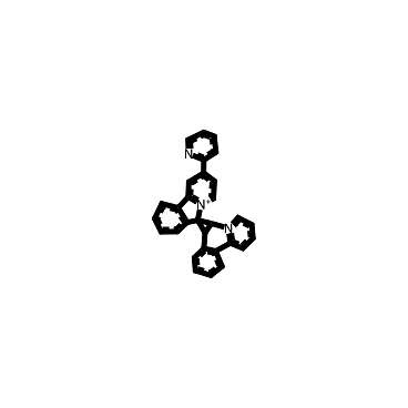 c1ccc(-c2cc[n+]3c(c2)-c2ccccc2C32C3c4ccccc4-c4cccc[n+]4C32)nc1